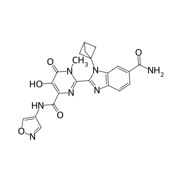 Cn1c(-c2nc3ccc(C(N)=O)cc3n2C23CC(C2)C3)nc(C(=O)Nc2cnoc2)c(O)c1=O